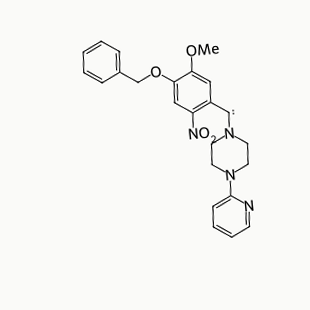 COc1cc([C]N2CCN(c3ccccn3)CC2)c([N+](=O)[O-])cc1OCc1ccccc1